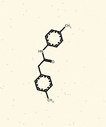 Cc1ccc(CC(=O)Nc2ccc(C)cc2)cc1